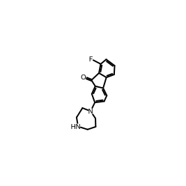 O=C1c2cc(N3CCCNCC3)ccc2-c2cccc(F)c21